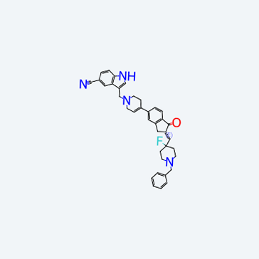 N#Cc1ccc2[nH]cc(CN3CC=C(c4ccc5c(c4)C/C(=C\C4(F)CCN(Cc6ccccc6)CC4)C5=O)CC3)c2c1